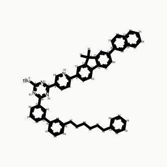 CC(C)(C)c1nc(-c2ccc(-c3ccc4c(c3)C(C)(C)c3cc(-c5ccc6ccccc6c5)ccc3-4)nc2)nc(-c2cccc(-c3cccc(CCCCCCc4ccccc4)c3)c2)n1